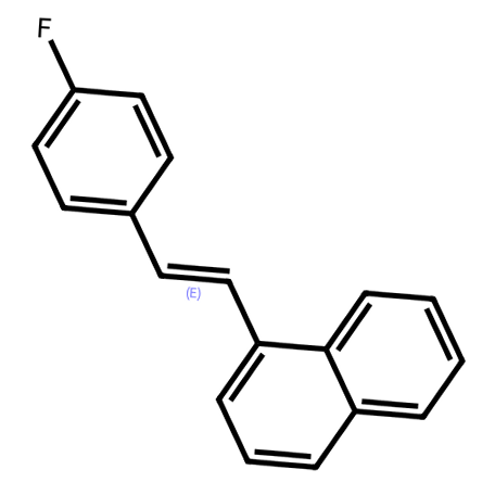 Fc1ccc(/C=C/c2cccc3ccccc23)cc1